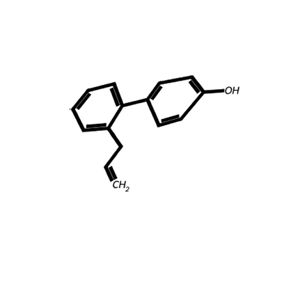 C=CCc1c[c]ccc1-c1ccc(O)cc1